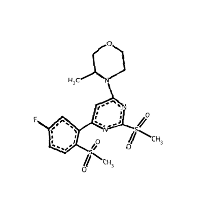 CC1COCCN1c1cc(-c2cc(F)ccc2S(C)(=O)=O)nc(S(C)(=O)=O)n1